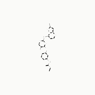 C=CC(=O)Nc1cccc(Oc2nc(Nc3ccnc4cc(C)nn34)ncc2Cl)c1